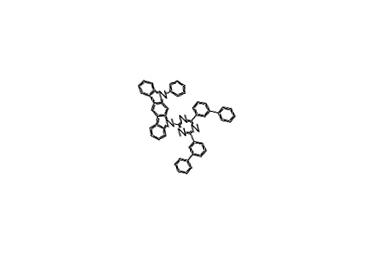 c1ccc(-c2cccc(-c3nc(-c4cccc(-c5ccccc5)c4)nc(-n4c5ccccc5c5cc6c7ccccc7n(-c7ccccc7)c6cc54)n3)c2)cc1